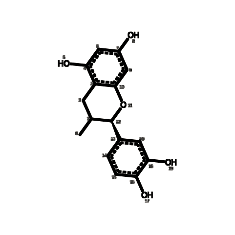 CC1Cc2c(O)cc(O)cc2O[C@H]1c1ccc(O)c(O)c1